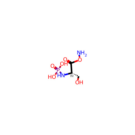 NOC(=O)[C@H](CO)NP(=O)(O)O